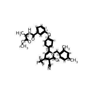 COC(=O)[C@@H](C)NC(=O)c1cccc(Oc2ccc(-c3cc(C(F)(F)F)c(C#N)c(=O)n3Cc3ccc(C)cc3C)cc2)c1